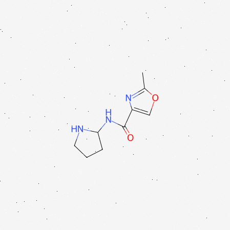 Cc1nc(C(=O)NC2CCCN2)co1